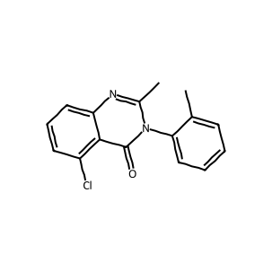 Cc1ccccc1-n1c(C)nc2cccc(Cl)c2c1=O